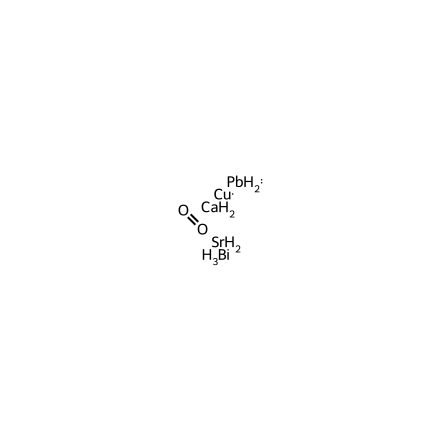 O=O.[BiH3].[CaH2].[Cu].[PbH2].[SrH2]